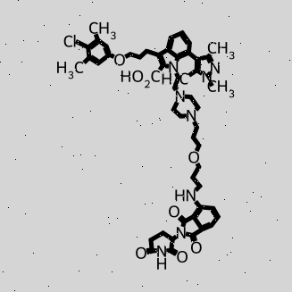 Cc1cc(OCCCc2c(C(=O)O)n(CCN3CCN(CCCOCCCNc4cccc5c4C(=O)N(C4CCC(=O)NC4=O)C5=O)CC3)c3c(-c4c(C)nn(C)c4C)cccc23)cc(C)c1Cl